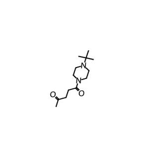 CC(=O)CCC(=O)N1CCN(C(C)(C)C)CC1